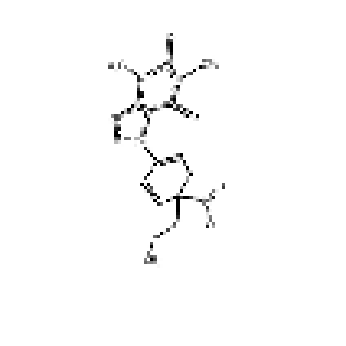 CCOC1([N+](=O)[O-])C=CC(n2cnc3c2c(=O)n(C)c(=O)n3C)=CC1